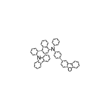 c1ccc(N(c2ccc(-c3ccc4oc5ccccc5c4c3)cc2)c2ccc(-c3ccccc3-n3c4ccccc4c4ccccc43)c3ccccc23)cc1